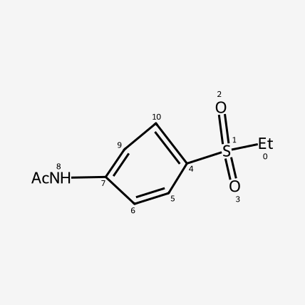 [CH2]CS(=O)(=O)c1ccc(NC(C)=O)cc1